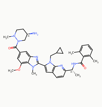 COc1cc(C(=O)N2C[C@H](N)CCN2C)cc2nc(-c3cc4ccc([C@@H](C)NC(=O)c5c(C)cccc5C)nc4n3CC3CC3)n(C)c12